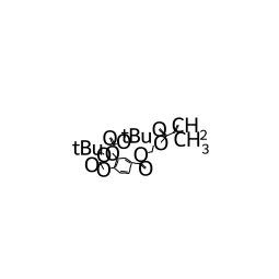 C=C(C)C(=O)OCCOC(=O)c1ccc(OC(=O)OC(C)(C)C)c(OC(=O)OC(C)(C)C)c1